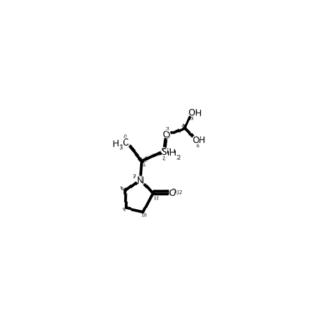 CC([SiH2]OC(O)O)N1CCCC1=O